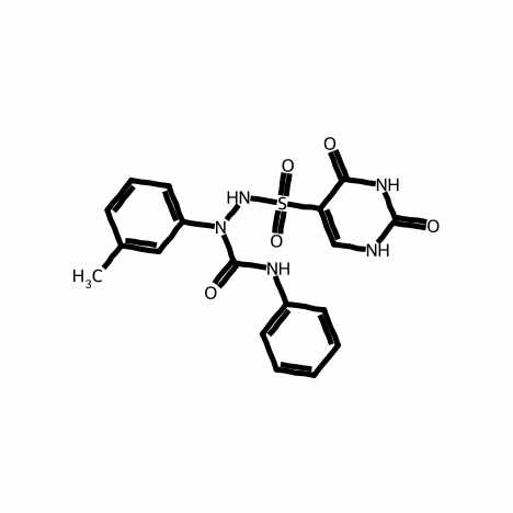 Cc1cccc(N(NS(=O)(=O)c2c[nH]c(=O)[nH]c2=O)C(=O)Nc2ccccc2)c1